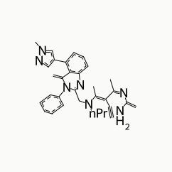 C#CC(/C(C)=N\C(=C)N)=C(/C)N(CCC)CC1=Nc2cccc(-c3cnn(C)c3)c2C(=C)N1c1ccccc1